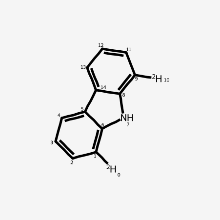 [2H]c1cccc2c1[nH]c1c([2H])cccc12